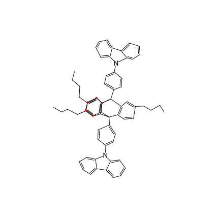 CCCCc1ccc2c(c1)C1(c3ccc(-n4c5ccccc5c5ccccc54)cc3)c3ccc(CCCC)cc3C2(c2ccc(-n3c4ccccc4c4ccccc43)cc2)c2cc(CCCC)ccc21